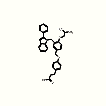 CC(C)COc1ccc(COc2ccc(CCC(=O)O)cc2)cc1Cn1c(-c2ccccc2)cc2ccccc21